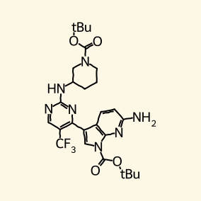 CC(C)(C)OC(=O)N1CCCC(Nc2ncc(C(F)(F)F)c(-c3cn(C(=O)OC(C)(C)C)c4nc(N)ccc34)n2)C1